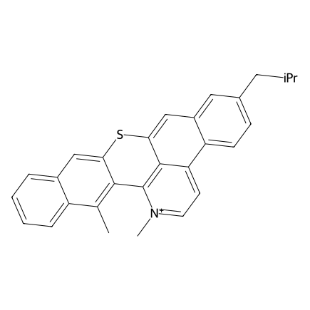 Cc1c2c(cc3ccccc13)Sc1cc3cc(CC(C)C)ccc3c3cc[n+](C)c-2c13